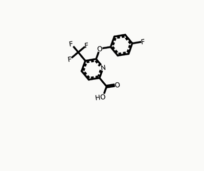 O=C(O)c1ccc(C(F)(F)F)c(Oc2ccc(F)cc2)n1